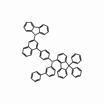 c1ccc(-c2cccc(N(c3ccc(-c4cc(-n5c6ccccc6c6ccccc65)cc5ccccc45)cc3)c3cccc4c3-c3ccccc3C4(c3ccccc3)c3ccccc3)c2)cc1